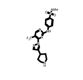 CNS(=O)(=O)c1ccc(Nc2ncc(C(F)(F)F)c(-n3cc(C4CCNCC4)cn3)n2)cc1